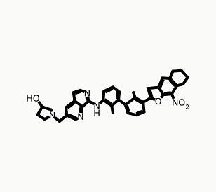 Cc1c(Nc2nccc3cc(CN4CCC(O)C4)cnc23)cccc1-c1cccc(-c2cc3cc4c(c([N+](=O)[O-])c3o2)CCCC4)c1C